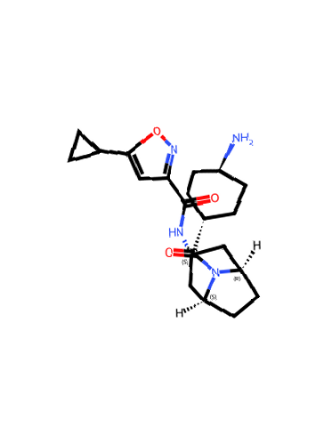 N[C@H]1CC[C@H](C(=O)N2[C@@H]3CC[C@H]2C[C@H](NC(=O)c2cc(C4CC4)on2)C3)CC1